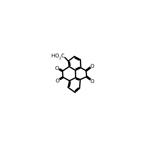 O=C(O)c1ccc2c3c1c(=O)c(=O)c1cccc(c1-3)c(=O)c2=O